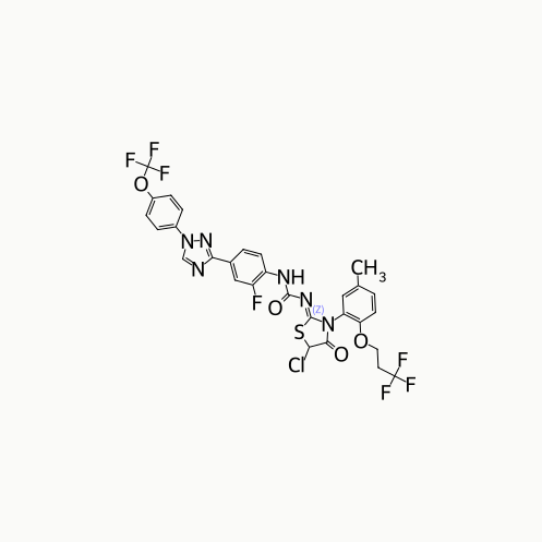 Cc1ccc(OCCC(F)(F)F)c(N2C(=O)C(Cl)S/C2=N\C(=O)Nc2ccc(-c3ncn(-c4ccc(OC(F)(F)F)cc4)n3)cc2F)c1